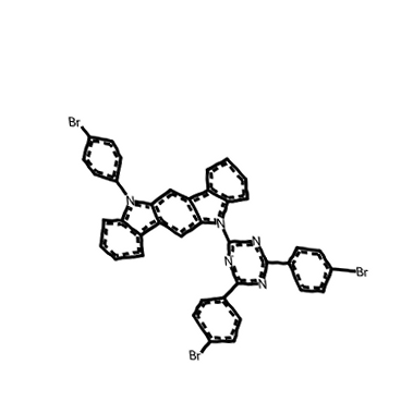 Brc1ccc(-c2nc(-c3ccc(Br)cc3)nc(-n3c4ccccc4c4cc5c(cc43)c3ccccc3n5-c3ccc(Br)cc3)n2)cc1